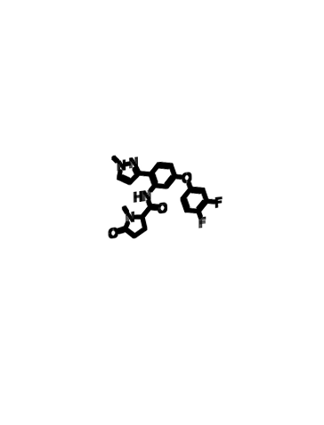 CN1C(=O)CCC1C(=O)Nc1cc(Oc2ccc(F)c(F)c2)ccc1-c1ccn(C)n1